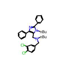 CCCCN(Cc1ccc(Cl)c(Cl)c1)Cc1c(-c2ccccc2)nc(-c2ccccc2)n1CCCC